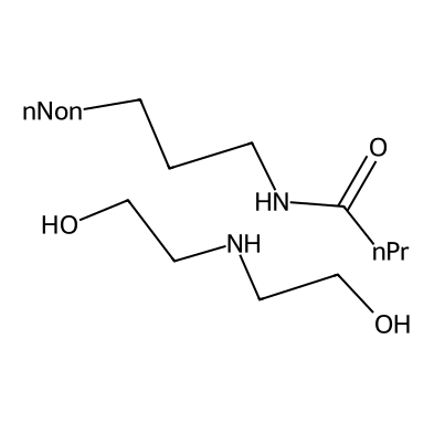 CCCCCCCCCCCCNC(=O)CCC.OCCNCCO